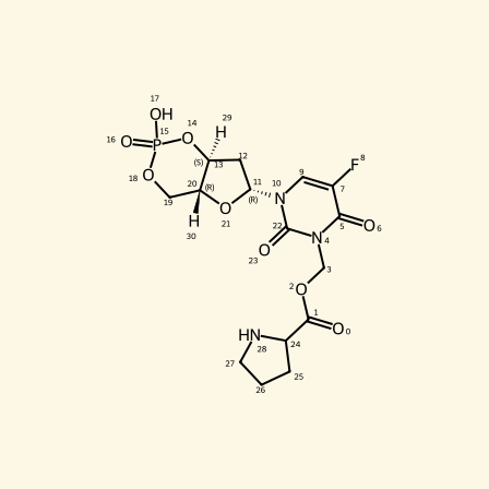 O=C(OCn1c(=O)c(F)cn([C@H]2C[C@@H]3OP(=O)(O)OC[C@H]3O2)c1=O)C1CCCN1